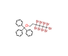 BrC(Br)(Br)C(Br)(Br)C(Br)(Br)C(Br)(Br)CCOC(c1ccccc1)(c1ccccc1)c1ccccc1